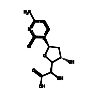 Nc1ccn([C@H]2C[C@H](O)[C@@H](C(O)C(=O)O)O2)c(=O)n1